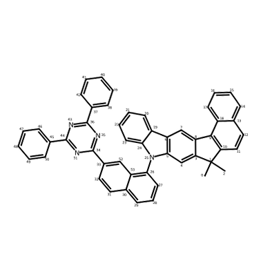 CC1(C)c2cc3c(cc2-c2c1ccc1ccccc21)c1ccccc1n3-c1cccc2ccc(-c3nc(-c4ccccc4)nc(-c4ccccc4)n3)cc12